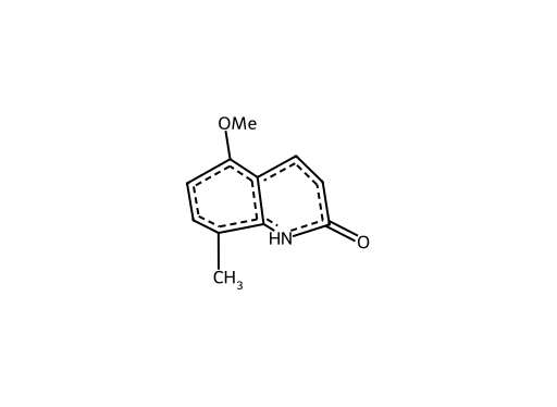 COc1ccc(C)c2[nH]c(=O)ccc12